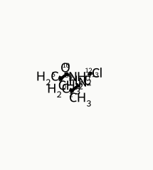 C=C(C)C#N.C=C(C)C(N)=O.C=CCl